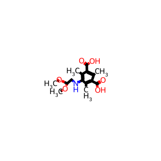 COC(CNc1c(C)c(C(=O)O)c(C)c(C(=O)O)c1C)OC